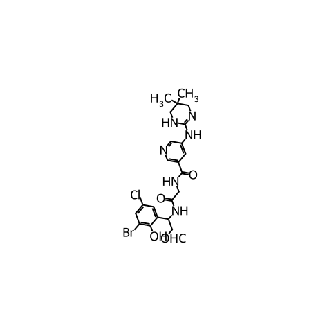 CC1(C)CN=C(Nc2cncc(C(=O)NCC(=O)NC(CC=O)c3cc(Cl)cc(Br)c3O)c2)NC1